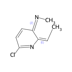 C/C=C1/N=C(Cl)C=C/C1=N/C